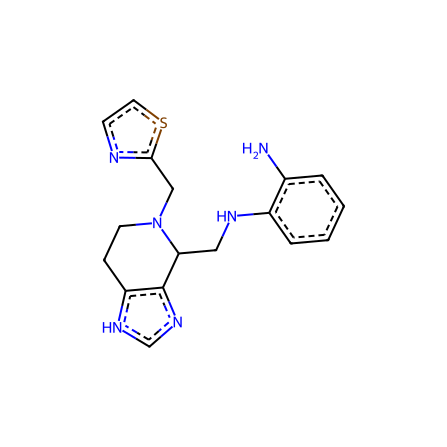 Nc1ccccc1NCC1c2nc[nH]c2CCN1Cc1nccs1